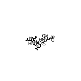 CC(C)Cc1ncc(F)c2nc(Cn3c(C(C)C)ccc(NC(=O)C(CCC=CC(=O)N(C)C)NC(=O)O)c3=O)[nH]c12